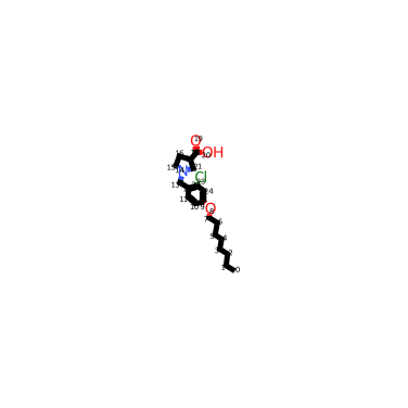 CCCCCCCCOc1ccc(CN2CCC(C(=O)O)C2)c(Cl)c1